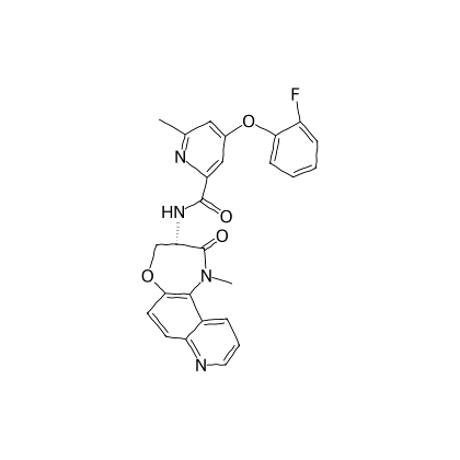 Cc1cc(Oc2ccccc2F)cc(C(=O)N[C@H]2COc3ccc4ncccc4c3N(C)C2=O)n1